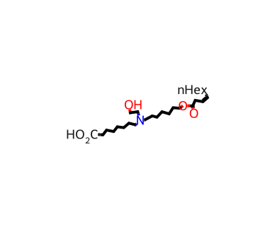 CCCCCC/C=C\CC(=O)OCCCCCCCN(CCO)CCCCCCCC(=O)O